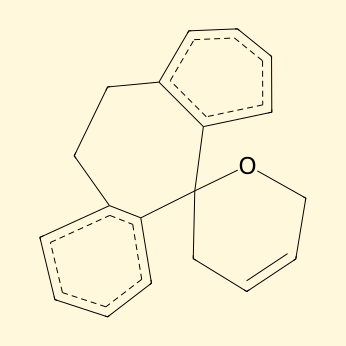 C1=CCC2(OC1)c1ccccc1CCc1ccccc12